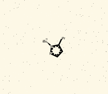 CC[C@H](C)n1nccc1C(C)C